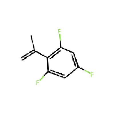 C=C(C)c1c(F)cc(F)cc1F